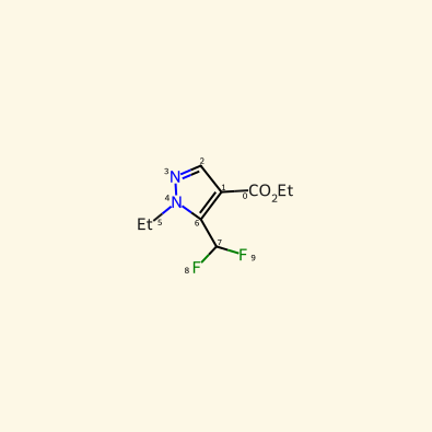 CCOC(=O)c1cnn(CC)c1C(F)F